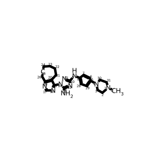 CN1CCN(c2ccc(Nc3nc(N)n(-c4ncnc5c4CCCCCC5)n3)cc2)CC1